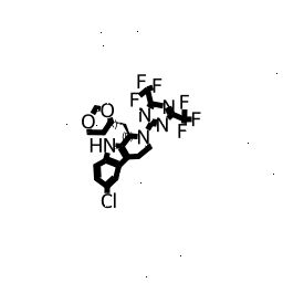 FC(F)(F)c1nc(N2CCc3c([nH]c4ccc(Cl)cc34)[C@H]2C[C@@H]2CCOCO2)nc(C(F)(F)F)n1